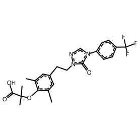 Cc1cc(CCn2ncn(-c3ccc(C(F)(F)F)cc3)c2=O)cc(C)c1OC(C)(C)C(=O)O